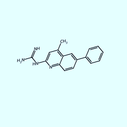 Cc1cc(NC(=N)N)nc2ccc(-c3ccccc3)cc12